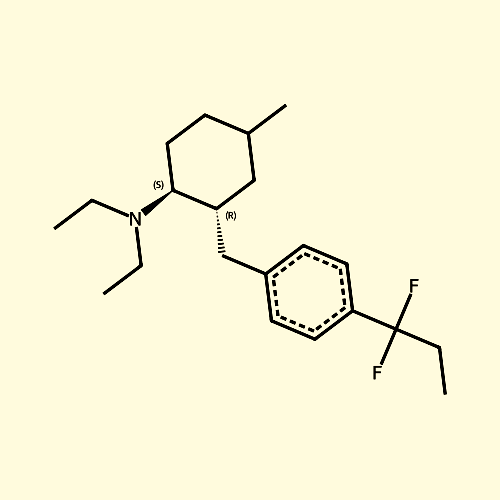 CCN(CC)[C@H]1CCC(C)C[C@@H]1Cc1ccc(C(F)(F)CC)cc1